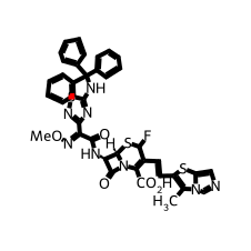 CON=C(C(=O)N[C@@H]1C(=O)N2C(C(=O)O)=C(C=Cc3sc4cncn4c3C)C(F)S[C@H]12)c1nsc(NC(c2ccccc2)(c2ccccc2)c2ccccc2)n1